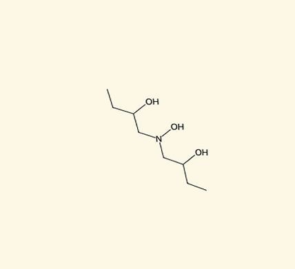 CCC(O)CN(O)CC(O)CC